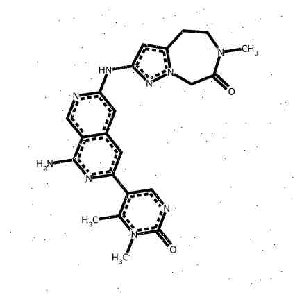 Cc1c(-c2cc3cc(Nc4cc5n(n4)CC(=O)N(C)CC5)ncc3c(N)n2)cnc(=O)n1C